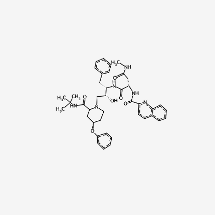 CNC(=O)C[C@H](NC(=O)c1ccc2ccccc2n1)C(=O)N[C@@H](Cc1ccccc1)[C@H](O)CN1CC[C@@H](Oc2ccccc2)CC1C(=O)NC(C)(C)C